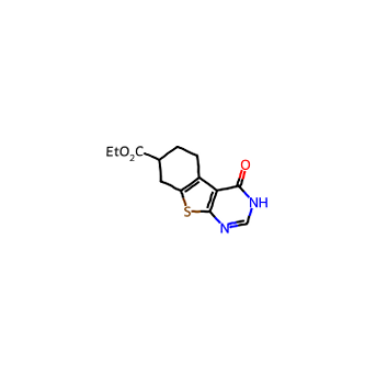 CCOC(=O)C1CCc2c(sc3nc[nH]c(=O)c23)C1